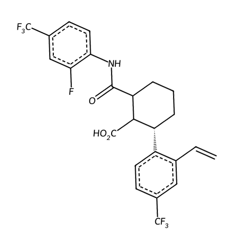 C=Cc1cc(C(F)(F)F)ccc1[C@H]1CCCC(C(=O)Nc2ccc(C(F)(F)F)cc2F)C1C(=O)O